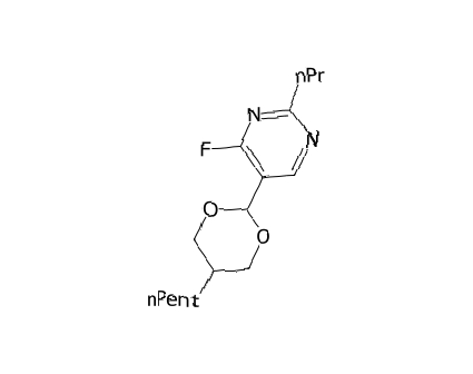 CCCCCC1COC(c2cnc(CCC)nc2F)OC1